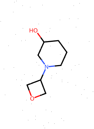 OC1CCCN(C2COC2)C1